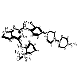 COc1cc(N2CCN(N3CCN(C)CC3)CC2)ccc1Nc1nc(Nc2ccccc2P(C)(C)=O)c2cc[nH]c2n1